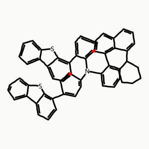 c1ccc(N(c2ccc(-c3cccc4c3sc3ccccc34)cc2)c2ccccc2-c2cccc3cccc(C4CCCCC4)c23)c(-c2cccc3c2sc2ccccc23)c1